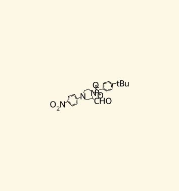 CC(C)(C)c1ccc(S(=O)(=O)N2CCN(c3ccc([N+](=O)[O-])cc3)CC2C=O)cc1